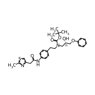 Cc1nc(CC(=O)Nc2ccc(CCN(C[C@H](O)COc3ccccc3)C(=O)OC(C)(C)C)cc2)cs1